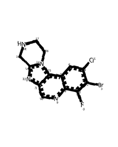 Fc1c(Br)c(Cl)cc2c1ncc1nc3n(c12)CCNC3